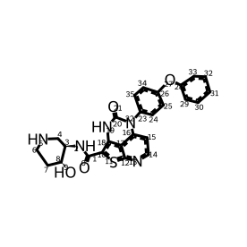 O=C(N[C@@H]1CNCC[C@H]1O)c1sc2nccc3c2c1NC(=O)N3c1ccc(Oc2ccccc2)cc1